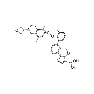 COc1c(C(O)O)cnn1-c1cccc(-c2cccc(C)c2OCc2cc(C)c3c(c2C)CCN(C2COC2)C3)n1